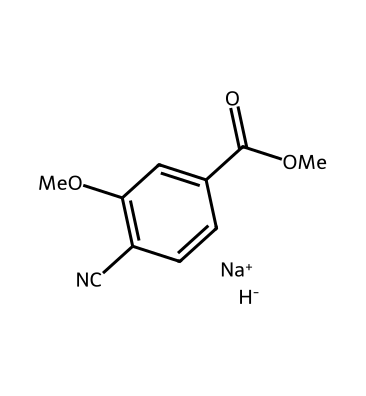 COC(=O)c1ccc(C#N)c(OC)c1.[H-].[Na+]